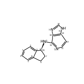 c1ccc2c(c1)CC[C@@H]2Nc1nccc2[nH]cnc12